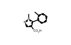 Cc1ccccc1-c1c(C(=O)O)cnn1C